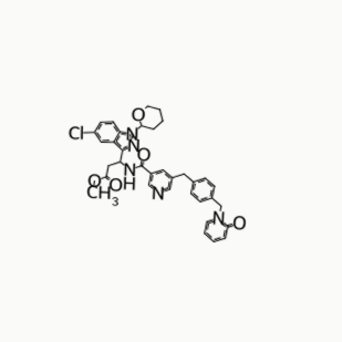 COC(=O)CC(NC(=O)c1cncc(Cc2ccc(Cn3ccccc3=O)cc2)c1)c1nn(C2CCCCO2)c2ccc(Cl)cc12